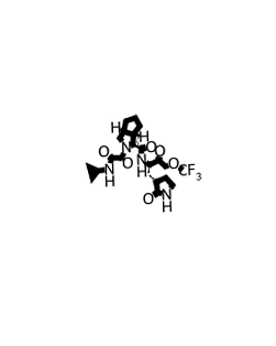 O=C(NC1CC1)C(=O)N1C[C@@H]2CCC[C@@H]2[C@H]1C(=O)N[C@@H](C[C@@H]1CCNC1=O)C(=O)COC(F)(F)F